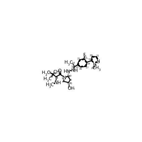 CN[C@H](C(=O)N1C[C@H](O)C[C@H]1NN[C@@H](C)c1ccc(-c2ccnn2C)c(F)c1)C(C)(C)C